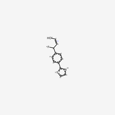 O/C=C\C(F)c1ccc(-c2nccs2)cc1